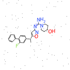 CC(c1ccc(-c2ccccc2)c(F)c1)c1cc(/N=C(/N)N2CCC(O)CC2)no1